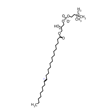 CCCCCCCC/C=C/CCCCCCCCCCCCCC(=O)OC[C@@H](O)COP(=O)([O-])OCC[N+](C)(C)C